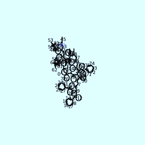 COC(C[C@@H]1OC(CC(COC(=O)c2ccccc2)OC(=O)c2ccccc2)[C@H](OC)C1C(C(O)C[C@H]1CC[C@@H]2OC(C(/C=C/I)O[Si](C)(C)C(C)(C)C)C(O[Si](C)(C)C(C)(C)C)[C@@H](O)[C@H]2O1)S(=O)(=O)c1ccccc1)OC